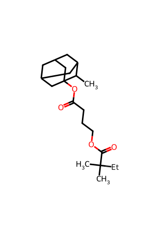 CCC(C)(C)C(=O)OCCCC(=O)OC12CC3CC(CC(C3)C1C)C2